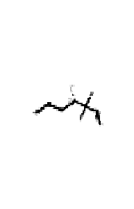 [CH2]CC[C@H](F)C(F)(F)CC